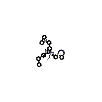 C=C(/N=C(\CC(N)C1=CCC(C2=CC(C3C=CCCC3)CC=C2)C=C1)C1=CCC(C2=CCCC(N3C4C=CC=CC4C4CCCCC43)=C2)CC1)C1=CC(N2CCC/C=C\CC3=C2CCC=C3)=CCC1